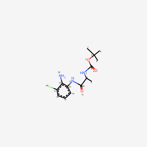 CC(NC(=O)OC(C)(C)C)C(=O)Nc1cccc(F)c1N